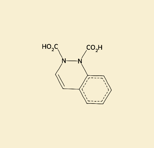 O=C(O)N1C=Cc2ccccc2N1C(=O)O